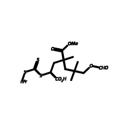 CCCSC(=S)SC(CC(C)(CC(C)(C)COC=O)C(=O)OC)C(=O)O